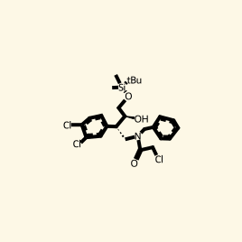 CC(C)(C)[Si](C)(C)OC[C@@H](O)[C@H](CN(Cc1ccccc1)C(=O)CCl)c1ccc(Cl)c(Cl)c1